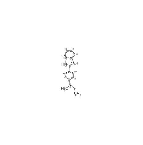 CCN(C)c1ccc(C2Nc3ccccc3N2)cc1